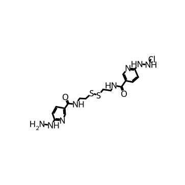 NNc1ccc(C(=O)NCCSSCCNC(=O)c2ccc(NNCl)nc2)cn1